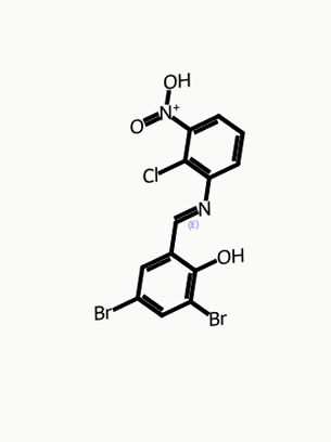 O=[N+](O)c1cccc(/N=C/c2cc(Br)cc(Br)c2O)c1Cl